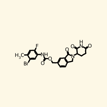 Cc1cc(F)c(NC(=O)OCc2ccc3c(c2)C(=O)N(C2CCC(=O)NC2=O)C3)cc1Br